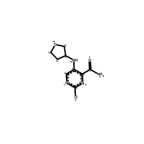 NC(=O)c1nc(Cl)ncc1NC1CCOC1